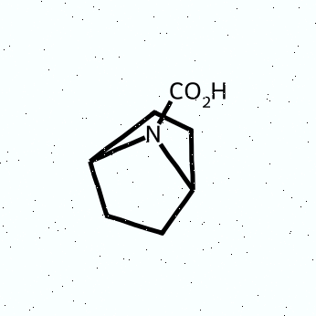 O=C(O)N1C2CCC1CC2